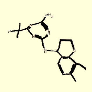 Cc1ccc2c(c1C)OCC[C@@H]2Nc1nc(N)nc(C(C)(C)F)n1